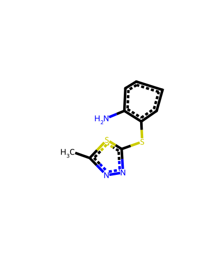 Cc1nnc(Sc2ccccc2N)s1